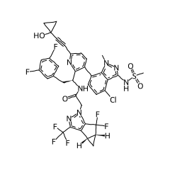 Cn1nc(NS(C)(=O)=O)c2c(Cl)ccc(-c3ccc(C#CC4(O)CC4)nc3[C@H](Cc3cc(F)cc(F)c3)NC(=O)Cn3nc(C(F)(F)F)c4c3C(F)(F)[C@@H]3C[C@H]43)c21